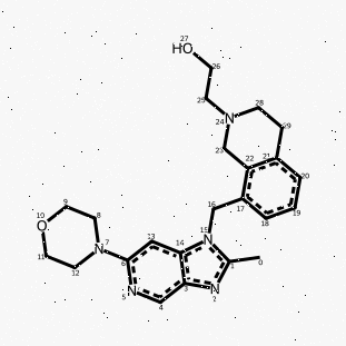 Cc1nc2cnc(N3CCOCC3)cc2n1Cc1cccc2c1CN(CCO)CC2